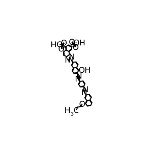 CCCOc1cccc2ccc(N=Nc3ccc(N=Nc4ccc5cc(-n6nc7ccc8c(S(=O)(=O)O)cc(S(=O)(=O)O)cc8c7n6)ccc5c4O)cc3)cc12